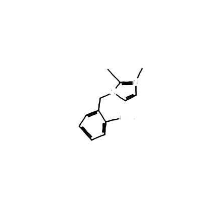 Cc1n(Cc2ccccc2F)cc[n+]1C.[OH-]